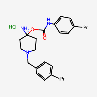 CC(C)c1ccc(CN2CCC(N)(OC(=O)Nc3ccc(C(C)C)cc3)CC2)cc1.Cl